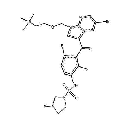 C[Si](C)(C)CCOCn1cc(C(=O)c2c(F)ccc(NS(=O)(=O)N3CCC(F)C3)c2F)c2cc(Br)cnc21